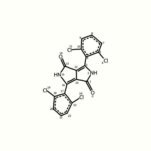 O=C1NC(c2c(Cl)cccc2Cl)=C2C(=O)NC(c3c(Cl)cccc3Cl)=C12